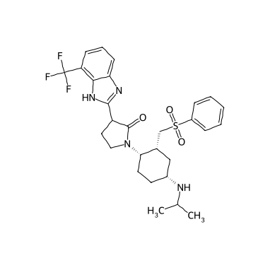 CC(C)N[C@@H]1CC[C@H](N2CCC(c3nc4cccc(C(F)(F)F)c4[nH]3)C2=O)[C@H](CS(=O)(=O)c2ccccc2)C1